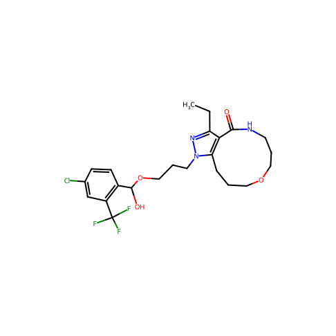 CCc1nn(CCCOC(O)c2ccc(Cl)cc2C(F)(F)F)c2c1C(=O)NCCCOCCC2